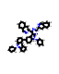 c1ccc(-n2c3ccccc3c3c(-c4ccc5c(c4)c4c(-c6cc7ccccc7cn6)nc(-c6cc7ccccc7cn6)nc4n5-c4ccccc4)cccc32)cc1